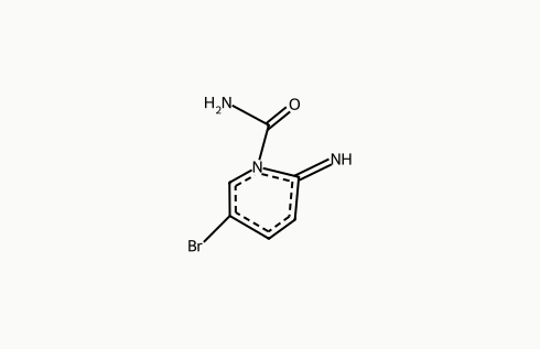 N=c1ccc(Br)cn1C(N)=O